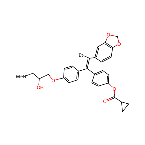 CCC(=C(c1ccc(OCC(O)CNC)cc1)c1ccc(OC(=O)C2CC2)cc1)c1ccc2c(c1)OCO2